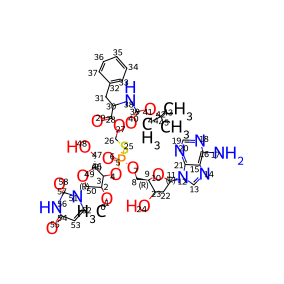 COC1C(OP(=O)(OC[C@H]2O[C@@H](n3cnc4c(N)ncnc43)CC2O)SCOC(=O)C(Cc2ccccc2)NC(=O)OC(C)(C)C)[C@@H](CO)O[C@H]1n1ccc(=O)[nH]c1=O